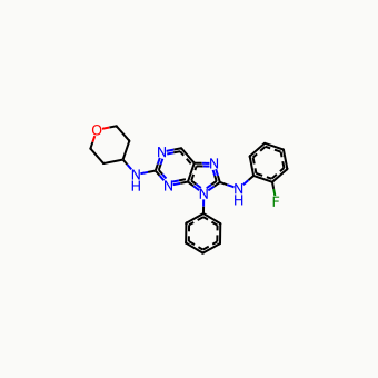 Fc1ccccc1Nc1nc2cnc(NC3CCOCC3)nc2n1-c1ccccc1